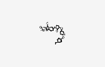 CS(=O)(=O)Cn1nc2ccc(N3CC[C@@H](Oc4ccc(Oc5ccc(F)cc5)nc4)C3=O)cn2c1=O